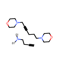 C#CCCN(CC)CC.C(#CCN1CCOCC1)CCCN1CCOCC1